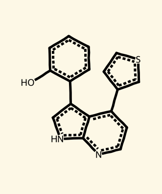 Oc1ccccc1-c1c[nH]c2nccc(-c3ccsc3)c12